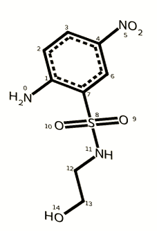 Nc1ccc([N+](=O)[O-])cc1S(=O)(=O)NCCO